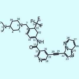 CN(C)C1CCN(CC2=CC=C(NC(=O)c3cncc(C#Cc4cnc5cccnn45)c3)CC2C(F)(F)F)CC1